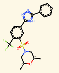 C[C@@H]1CN(S(=O)(=O)c2cc(-c3nnc(-c4ccccc4)[nH]3)ccc2C(F)(F)F)C[C@H](C)O1